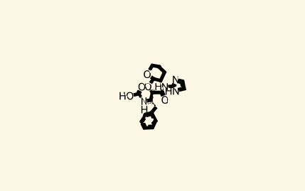 O=C(O)N[C@@H](Cc1ccccc1)[C@@H](OC1CCCCO1)C(=O)Nc1ncc[nH]1